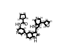 O=C(Nc1cncc(-c2ccc3[nH]nc(-c4cc5c(-c6ccoc6)cncc5[nH]4)c3c2)c1)C1CCCC1